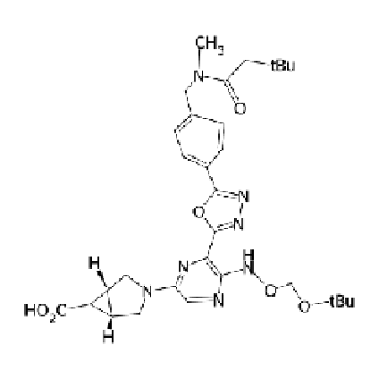 CN(Cc1ccc(-c2nnc(-c3nc(N4C[C@@H]5C(C(=O)O)[C@@H]5C4)cnc3NOCOC(C)(C)C)o2)cc1)C(=O)CC(C)(C)C